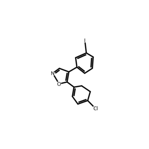 ClC1=CC=C(c2oncc2-c2cccc(I)c2)CC1